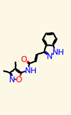 Cc1noc(NC(=O)C=Cc2n[nH]c3ccccc23)c1C